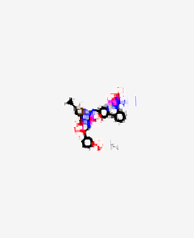 COc1cccc(C(=O)Cn2c(=O)c3cc(C4CC4)sc3n(Cc3ccc(-c4ccccc4-c4noc(=O)[nH]4)cc3)c2=O)c1.[K]